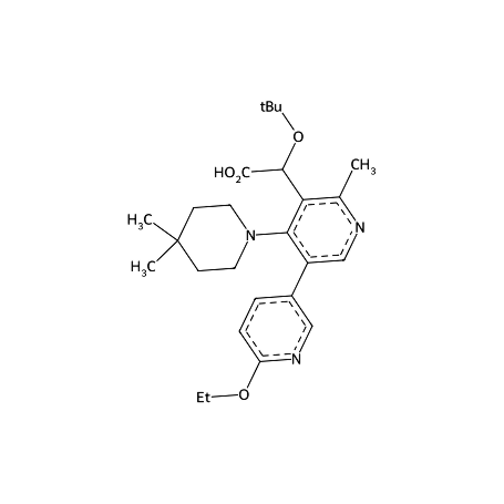 CCOc1ccc(-c2cnc(C)c(C(OC(C)(C)C)C(=O)O)c2N2CCC(C)(C)CC2)cn1